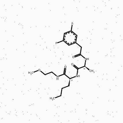 CCCC[C@H](NC(=O)[C@H](C)NC(=O)Cc1cc(F)cc(F)c1)C(=O)NCCOC